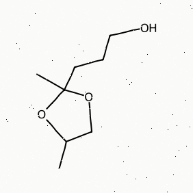 CC1COC(C)(CCCO)O1